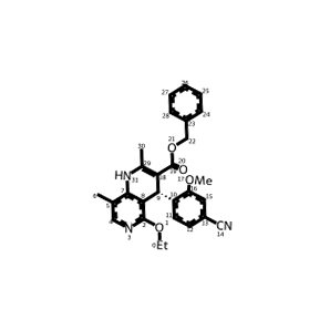 CCOc1ncc(C)c2c1[C@@H](c1ccc(C#N)cc1OC)C(C(=O)OCc1ccccc1)=C(C)N2